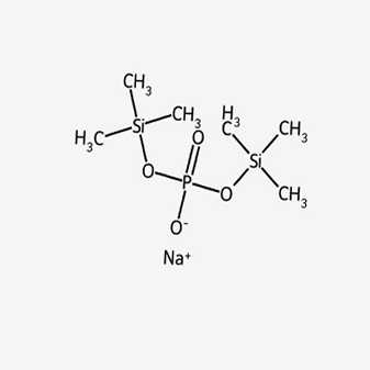 C[Si](C)(C)OP(=O)([O-])O[Si](C)(C)C.[Na+]